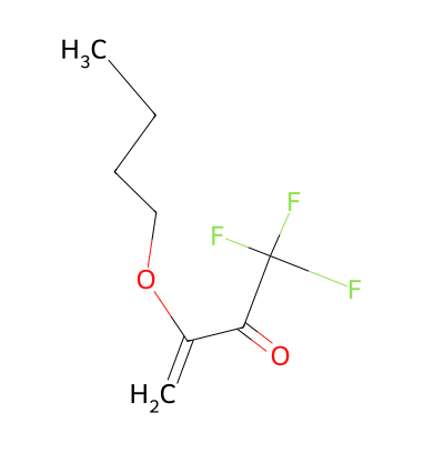 C=C(OCCCC)C(=O)C(F)(F)F